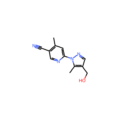 Cc1cc(-n2ncc(CO)c2C)ncc1C#N